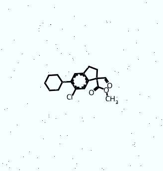 COC(=O)C1(C=O)CCc2cc(C3CCCCC3)c(Cl)cc21